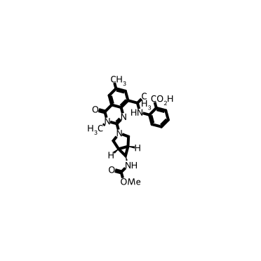 COC(=O)N[C@@H]1[C@@H]2CN(c3nc4c(C(C)Nc5ccccc5C(=O)O)cc(C)cc4c(=O)n3C)C[C@@H]21